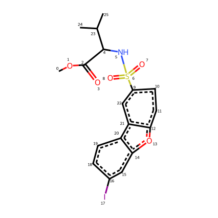 COC(=O)C(NS(=O)(=O)c1ccc2oc3cc(I)ccc3c2c1)C(C)C